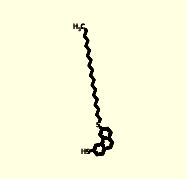 CCCCCCCCCCCCCCCCCCCCSc1ccc2ccc3ccc(S)cc3c2c1